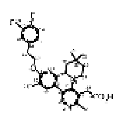 Cc1ncc(-c2cnc(OCCc3ccc(F)c(Cl)c3)c(F)c2)c(N2CCC(C)(C)CC2)c1CC(=O)O